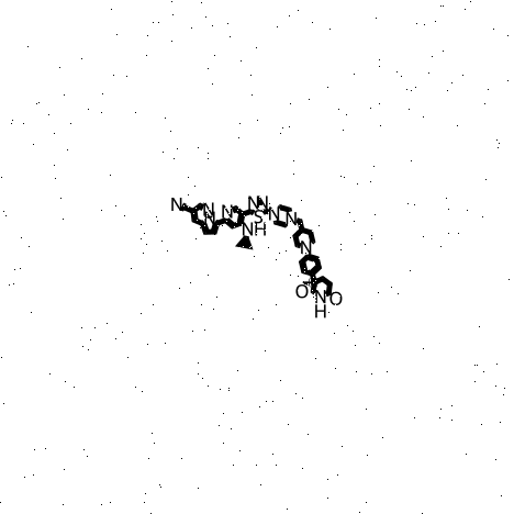 N#Cc1cnn2c(-c3cc(NC4CC4)c(-c4nnc(N5CCN(CC6CCN(c7ccc([C@]8(C=O)CCC(=O)NC8)cc7)CC6)CC5)s4)cn3)ccc2c1